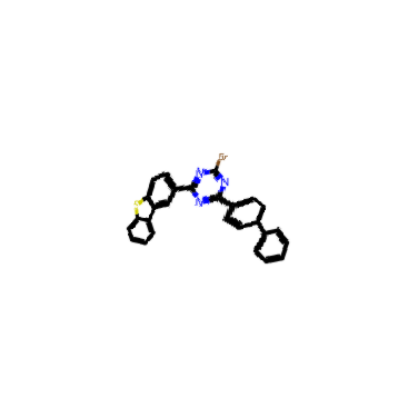 Brc1nc(-c2ccc(-c3ccccc3)cc2)nc(-c2ccc3sc4ccccc4c3c2)n1